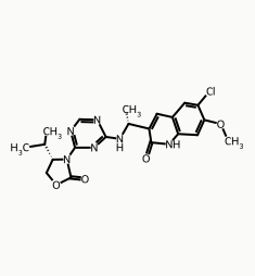 COc1cc2[nH]c(=O)c([C@@H](C)Nc3ncnc(N4C(=O)OC[C@@H]4C(C)C)n3)cc2cc1Cl